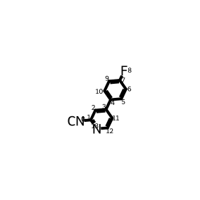 [C-]#[N+]c1cc(-c2ccc(F)cc2)ccn1